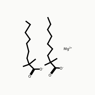 CCCCCCCC(C)(C)C(=O)[O-].CCCCCCCC(C)(C)C(=O)[O-].[Mg+2]